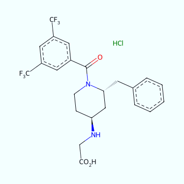 Cl.O=C(O)CN[C@H]1CCN(C(=O)c2cc(C(F)(F)F)cc(C(F)(F)F)c2)[C@H](Cc2ccccc2)C1